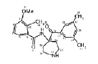 COc1cccc(C(=O)NC2(C(=O)c3cc(C)cc(C)c3)CCNCC2)c1C